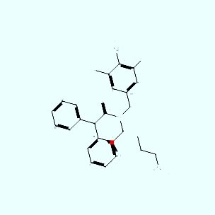 NCCC[C@H](C(N)=O)N(Cc1cc(Cl)c(N)c(Cl)c1)C(=O)C(c1ccccc1)c1ccccc1